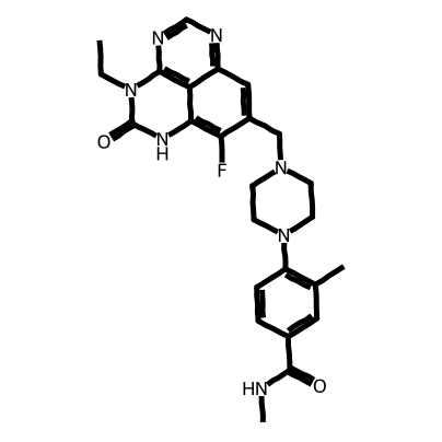 CCN1C(=O)Nc2c(F)c(CN3CCN(c4ccc(C(=O)NC)cc4C)CC3)cc3ncnc1c23